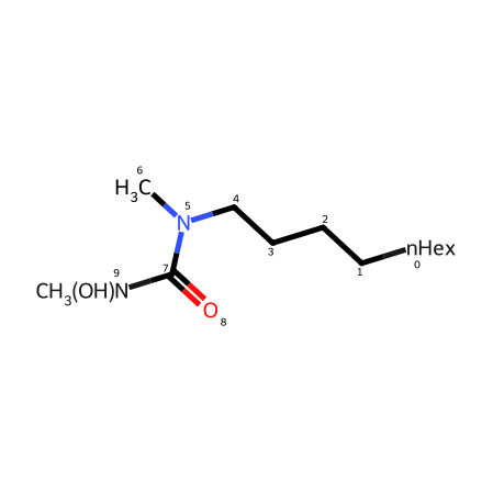 CCCCCCCCCCN(C)C(=O)N(C)O